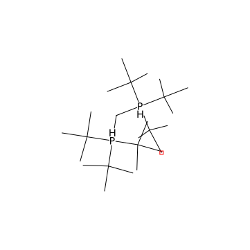 CC(C)(C)[PH](C[PH](C(C)(C)C)(C(C)(C)C)C(C)(C)C)(C(C)(C)C)C(C)(C)C